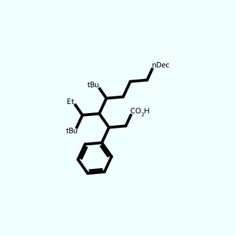 CCCCCCCCCCCCCC(C(C(CC(=O)O)c1ccccc1)C(CC)C(C)(C)C)C(C)(C)C